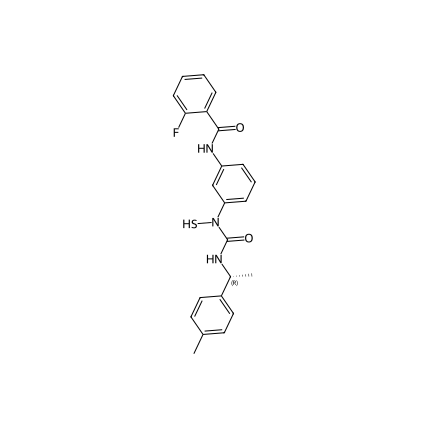 Cc1ccc([C@@H](C)NC(=O)N(S)c2cccc(NC(=O)c3ccccc3F)c2)cc1